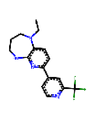 CCN1CCCNc2nc(-c3ccnc(C(F)(F)F)c3)ccc21